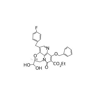 CCOC(=O)c1c(OCc2ccccc2)c2ncc(Cc3ccc(F)cc3)c3c2n(c1=O)C[C@@](C)(C(O)O)O3